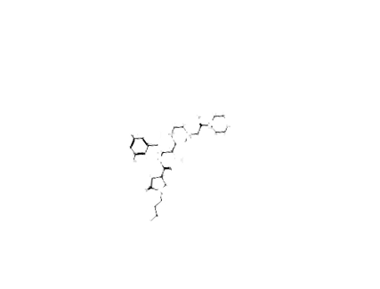 CCCCN1CC(C(=O)N[C@@H](Cc2cc(F)cc(F)c2)[C@H](O)[C@H]2CN(CC(=O)N3CCOCC3)CCN2)CC1=O